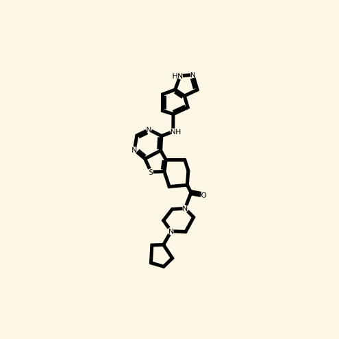 O=C(C1CCc2c(sc3ncnc(Nc4ccc5[nH]ncc5c4)c23)C1)N1CCN(C2CCCC2)CC1